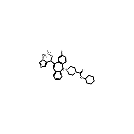 COC(C1=Cc2cccnc2[C@@H](N2CCN(C(=O)OC3CCCCC3)CC2)c2ccc(Cl)cc21)c1cncn1C